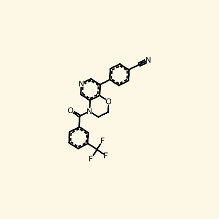 N#Cc1ccc(-c2cncc3c2OCCN3C(=O)c2cccc(C(F)(F)F)c2)cc1